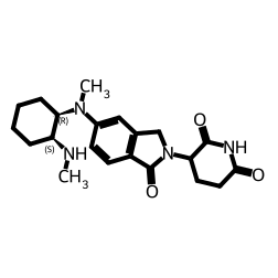 CN[C@H]1CCCC[C@H]1N(C)c1ccc2c(c1)CN(C1CCC(=O)NC1=O)C2=O